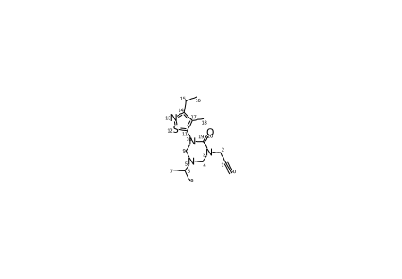 C#CCN1CN(C(C)C)CN(c2snc(CC)c2C)C1=O